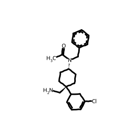 CC(=O)N(Cc1ccccc1)[C@H]1CC[C@@](CN)(C2C=CC=C(Cl)C2)CC1